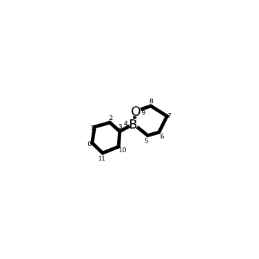 C1CCC(B2CCCCO2)CC1